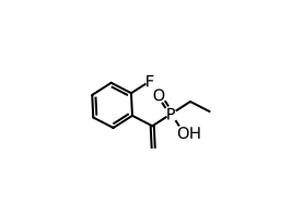 C=C(c1ccccc1F)P(=O)(O)CC